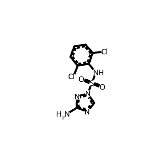 Nc1ncn(S(=O)(=O)Nc2c(Cl)cccc2Cl)n1